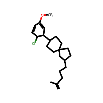 C=C(C)CCCC1CCC2(CCC(C3C=C(OC(F)(F)F)C=CC3Cl)CC2)C1